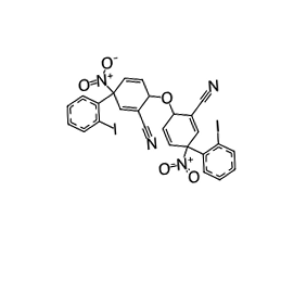 N#CC1=CC(c2ccccc2I)([N+](=O)[O-])C=CC1OC1C=CC(c2ccccc2I)([N+](=O)[O-])C=C1C#N